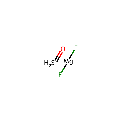 O=[SiH2].[F][Mg][F]